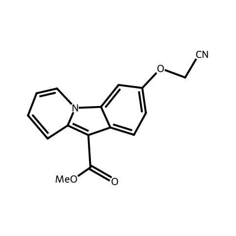 COC(=O)c1c2ccc(OCC#N)cc2n2ccccc12